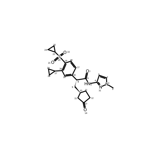 Cn1ccc(NC(=O)[C@H](C[C@H]2CCC(=O)C2)c2ccc(S(=O)(=O)C3CC3)c(C3CC3)c2)n1